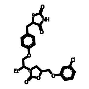 CCC(COc1ccc(CC2SC(=O)NC2=O)cc1)N1CC(COc2cccc(Cl)c2)OC1=O